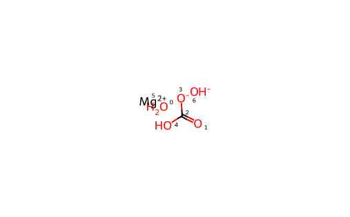 O.O=C([O-])O.[Mg+2].[OH-]